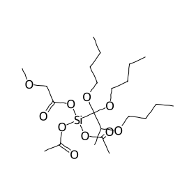 CCCCOC(C)C(OCCCC)(OCCCC)[Si](OC(C)=O)(OC(C)=O)OC(=O)COC